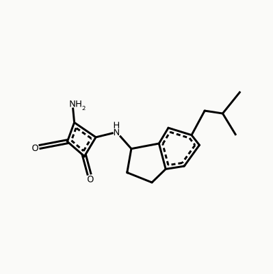 CC(C)Cc1ccc2c(c1)C(Nc1c(N)c(=O)c1=O)CC2